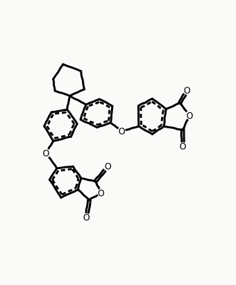 O=C1OC(=O)c2cc(Oc3ccc(C4(c5ccc(Oc6ccc7c(c6)C(=O)OC7=O)cc5)CCCCC4)cc3)ccc21